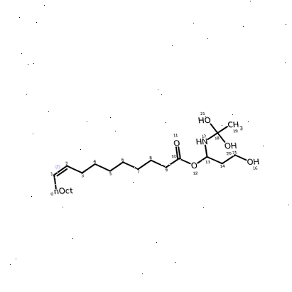 CCCCCCCC/C=C\CCCCCCCC(=O)OC(CCO)NC(C)(O)O